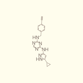 C#Cc1ccc(CNc2ncnc(Nc3cc(C4CC4)[nH]n3)n2)cc1